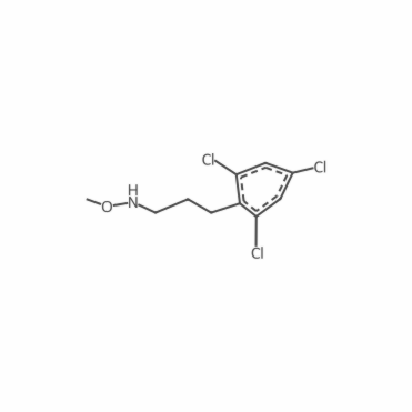 CONCCCc1c(Cl)cc(Cl)cc1Cl